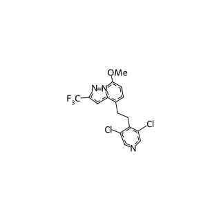 COc1ccc(CCc2c(Cl)cncc2Cl)c2cc(C(F)(F)F)nn12